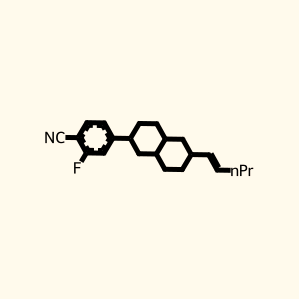 CCC/C=C/C1CCC2CC(c3ccc(C#N)c(F)c3)CCC2C1